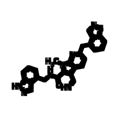 Cn1c(C(=O)NCc2cccc3[nH]ncc23)c(C=N)c2ccc(Cc3cccc4sncc34)nc21